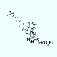 C=CCCCCCCCCOc1c2ncnc(SCC(=O)OCC)c2nn1-c1ccccc1